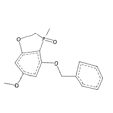 COc1cc(OCc2ccccc2)c2c(c1)OCP2(C)=O